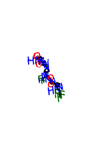 O=C1CCN(c2ccc(CN3CCC(n4cc(NC(=O)c5coc(-c6ccnc(NCC(F)(F)F)c6)n5)c(C(F)F)n4)CC3)nc2)C(=O)N1